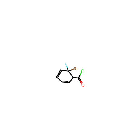 O=C(Cl)C1C=CC=CC1(F)Br